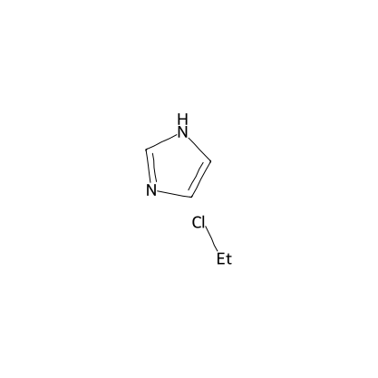 CCCl.c1c[nH]cn1